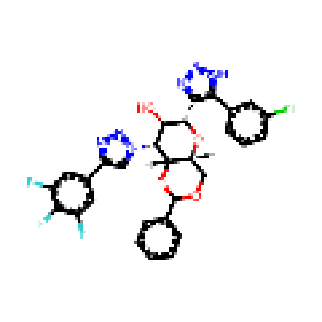 O[C@@H]1[C@@H](n2cc(-c3cc(F)c(F)c(F)c3)nn2)[C@H]2OC(c3ccccc3)OC[C@H]2O[C@H]1c1nn[nH]c1-c1cccc(Cl)c1